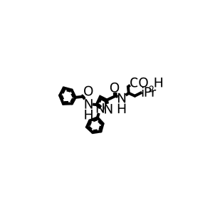 CC(C)CC(CC(=O)O)NC(=O)c1cc(NC(=O)c2ccccc2)n(-c2ccccc2)n1